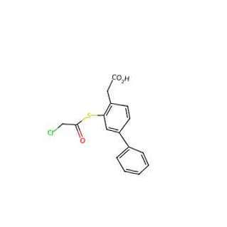 O=C(O)Cc1ccc(-c2ccccc2)cc1SC(=O)CCl